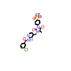 CC1C(=O)N(c2ccc(S(=O)(=O)C(F)(F)F)cc2)C(=O)N1Cc1ccnc(NC(=O)c2cccc(Cl)c2)c1